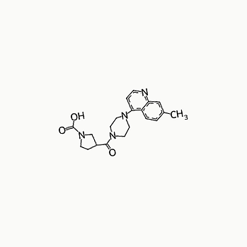 Cc1ccc2c(N3CCN(C(=O)C4CCN(C(=O)O)C4)CC3)ccnc2c1